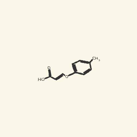 Cc1ccc(O/C=C/C(=O)O)cc1